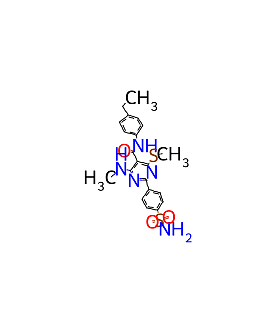 CCc1ccc(NC(=O)c2c(NC)nc(-c3ccc(S(N)(=O)=O)cc3)nc2SC)cc1